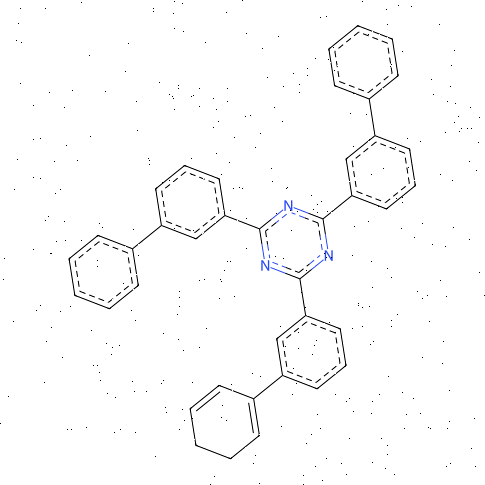 C1=CC(c2cccc(-c3nc(-c4cccc(-c5ccccc5)c4)nc(-c4cccc(-c5ccccc5)c4)n3)c2)=CCC1